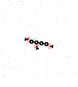 C=C(C)C(=O)Oc1ccc(-c2ccc(-c3cc(F)c(-c4ccc(OC(=O)C(=C)C)cc4)cc3OC(=O)C(=C)C)cc2)cc1